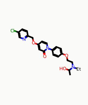 CCN(CCOc1ccc(-n2ccc(OCc3ccc(Cl)cn3)cc2=O)cc1)C(C)O